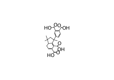 CC1(c2ccc(C(=O)O)c(C(=O)O)c2)CC(C)(C)C2CC=C(C(=O)O)C(C(=O)O)=C21